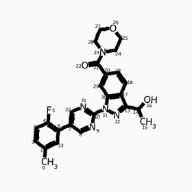 Cc1ccc(F)c(-c2cnc(-n3nc(C(C)O)c4ccc(C(=O)N5CCOCC5)cc43)nc2)c1